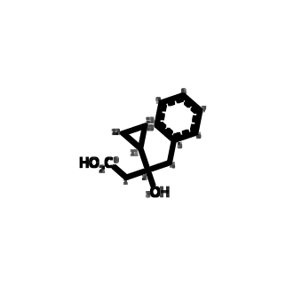 O=C(O)CC(O)(Cc1ccccc1)C1CC1